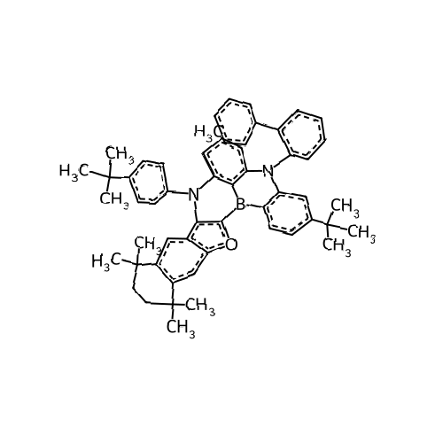 Cc1cc2c3c(c1)N(c1ccc(C(C)(C)C)cc1)c1c(oc4cc5c(cc14)C(C)(C)CCC5(C)C)B3c1ccc(C(C)(C)C)cc1N2c1ccccc1-c1ccccc1